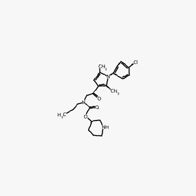 CCCN(CC(=O)c1cc(C)n(-c2ccc(Cl)cc2)c1C)C(=O)OC1CCCNC1